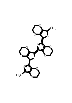 Cc1sc(C2S/C(=c3/s/c(=C4/SC(C)C5=C4OCCO5)c4c3OCCO4)C3=C2OCCO3)c2c1OCCO2